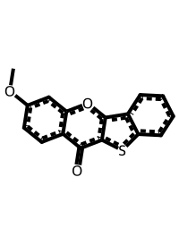 COc1ccc2c(=O)c3sc4ccccc4c3oc2c1